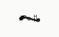 c1ccc(CNCCCCCCOCCCCOc2ccc3ccccc3c2)cc1